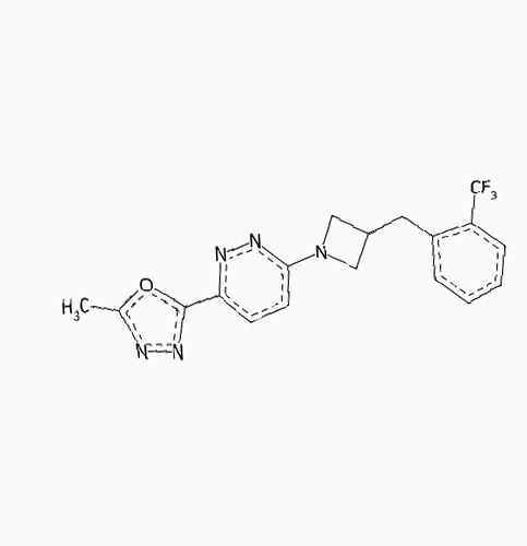 Cc1nnc(-c2ccc(N3CC(Cc4ccccc4C(F)(F)F)C3)nn2)o1